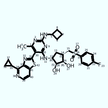 Cc1nc(NC2CCC2)nc(N[C@@H]2C[C@H](CS(=O)(=O)c3ccc(F)cc3)[C@@H](O)[C@H]2O)c1-c1nc2c(C3CC3)nccc2s1